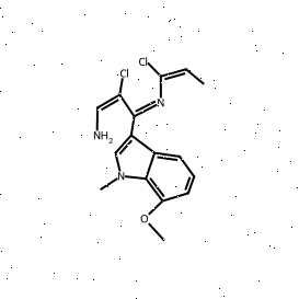 C\C=C(Cl)/N=C(\C(Cl)=C/N)c1cn(C)c2c(OC)cccc12